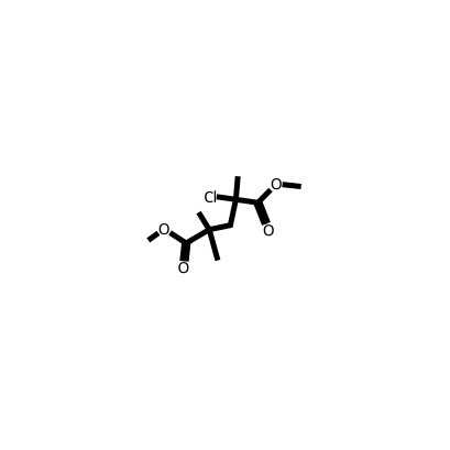 COC(=O)C(C)(C)CC(C)(Cl)C(=O)OC